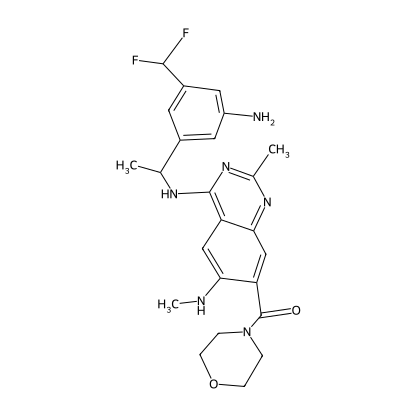 CNc1cc2c(NC(C)c3cc(N)cc(C(F)F)c3)nc(C)nc2cc1C(=O)N1CCOCC1